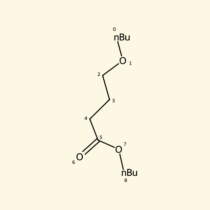 CCCCOCCCC(=O)OCCCC